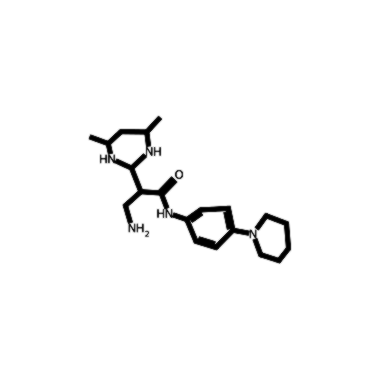 CC1CC(C)NC(C(CN)C(=O)Nc2ccc(N3CCCCC3)cc2)N1